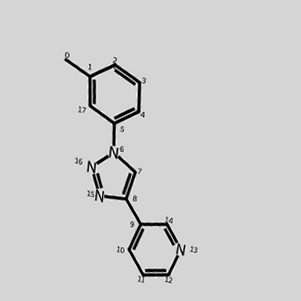 Cc1[c]ccc(-n2cc(-c3cccnc3)nn2)c1